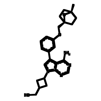 C[C@]12CC[C@](COc3cccc(-c4cn(C5CC(CO)C5)c5ncnc(N)c45)c3)(CC1)O2